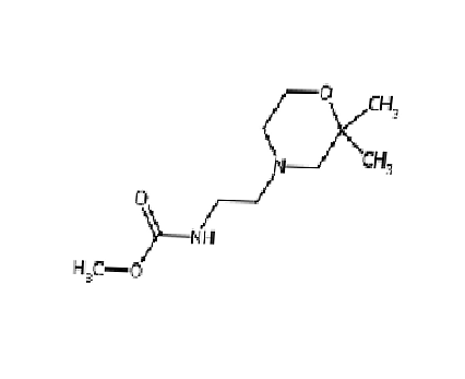 COC(=O)NCCN1CCOC(C)(C)C1